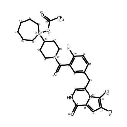 O=C(c1cc(Cc2c[nH]c(=O)c3cc(Cl)c(Cl)n23)ccc1F)N1CCC([N+]2(OC(=O)C(F)(F)F)CCCCCC2)CC1